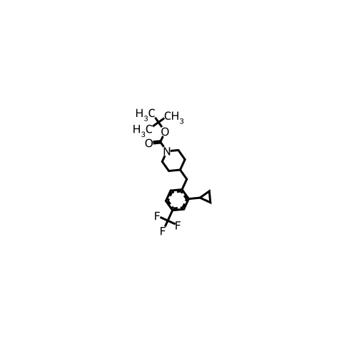 CC(C)(C)OC(=O)N1CCC(Cc2ccc(C(F)(F)F)cc2C2CC2)CC1